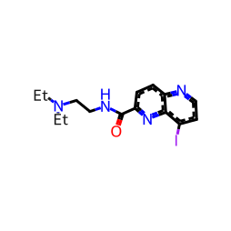 CCN(CC)CCNC(=O)c1ccc2nccc(I)c2n1